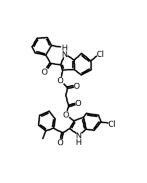 Cc1ccccc1C(=O)c1[nH]c2cc(Cl)ccc2c1OC(=O)CC(=O)Oc1c(C(=O)c2ccccc2C)[nH]c2cc(Cl)ccc12